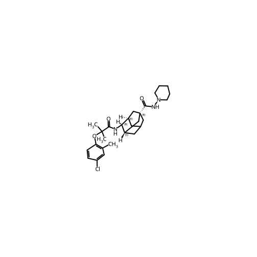 Cc1cc(Cl)ccc1OC(C)(C)C(=O)N[C@H]1[C@@H]2CC3C[C@H]1C[C@](C(=O)NN1CCCCC1)(C3)C2